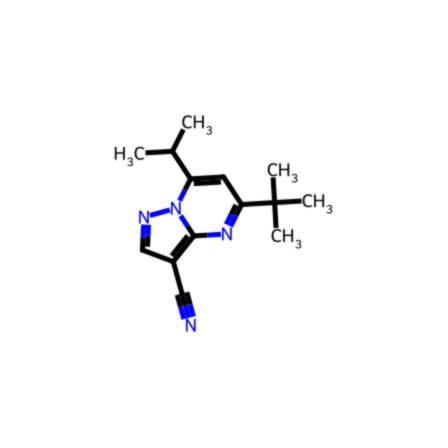 CC(C)c1cc(C(C)(C)C)nc2c(C#N)cnn12